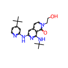 CC(C)(C)Nc1nc(Nc2cc(C(C)(C)C)ccn2)cc2ccn(CCO)c(=O)c12